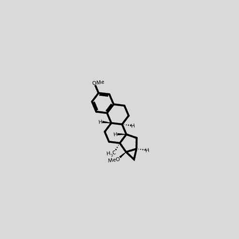 COc1ccc2c(c1)CC[C@@H]1[C@@H]2CC[C@@]2(C)[C@H]1C[C@H]1C[C@@]12OC